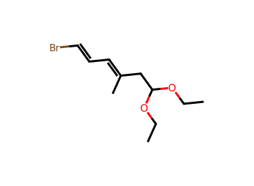 CCOC(C/C(C)=C/C=C/Br)OCC